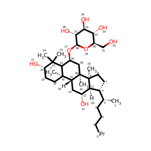 CC(C)CCC[C@@H](C)[C@H]1CC[C@@]2(C)[C@@H]1[C@H](O)C[C@@H]1[C@@]3(C)CC[C@H](O)C(C)(C)C3[C@@H](O[C@@H]3O[C@H](CO)[C@@H](O)[C@H](O)[C@H]3O)C[C@]12C